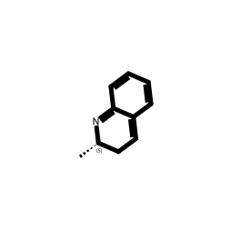 C[C@H]1CC=c2ccccc2=N1